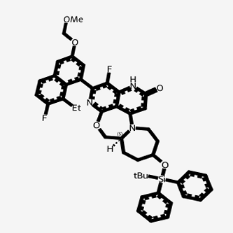 CCc1c(F)ccc2cc(OCOC)cc(-c3nc4c5c(cc(=O)[nH]c5c3F)N3CCC(O[Si](c5ccccc5)(c5ccccc5)C(C)(C)C)CC[C@H]3CO4)c12